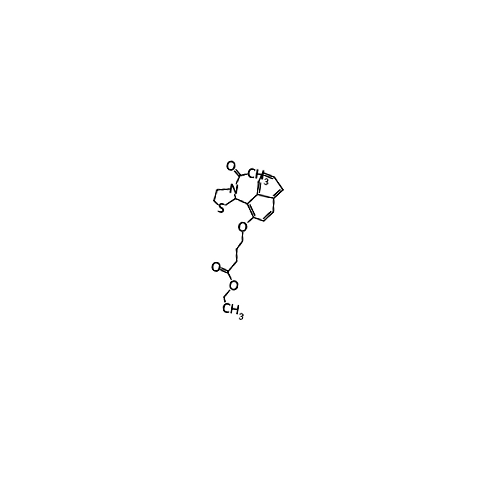 CCOC(=O)CCCOc1ccc2ccccc2c1C1SCCN1C(C)=O